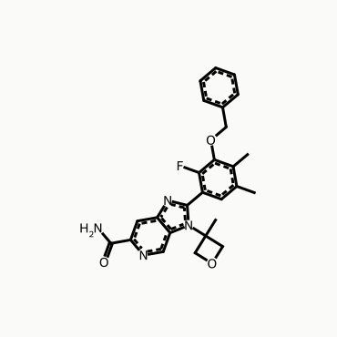 Cc1cc(-c2nc3cc(C(N)=O)ncc3n2C2(C)COC2)c(F)c(OCc2ccccc2)c1C